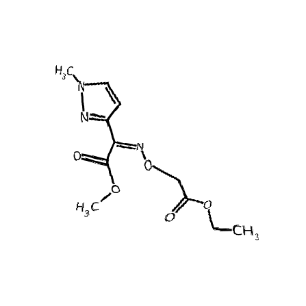 CCOC(=O)CON=C(C(=O)OC)c1ccn(C)n1